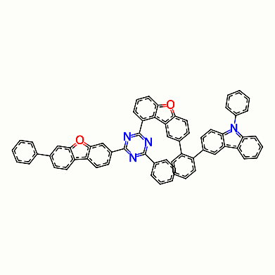 c1ccc(-c2ccc3c(c2)oc2cc(-c4nc(-c5ccccc5)nc(-c5cccc6oc7ccc(-c8ccccc8-c8ccc9c(c8)c8ccccc8n9-c8ccccc8)cc7c56)n4)ccc23)cc1